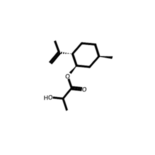 C=C(C)[C@@H]1CC[C@@H](C)C[C@H]1OC(=O)C(C)O